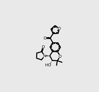 CC1(C)Oc2ccc(C(=O)c3ccoc3)cc2[C@H](N2CCCC2=O)[C@H]1O